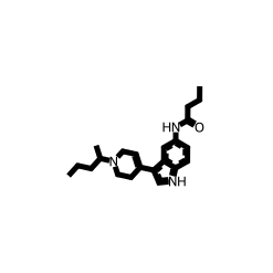 CCCC(=O)Nc1ccc2[nH]cc(C3=CCN(C(C)CCC)CC3)c2c1